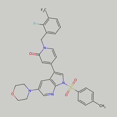 Cc1ccc(S(=O)(=O)n2cc(-c3ccn(Cc4cccc(C(F)(F)F)c4F)c(=O)c3)c3cc(N4CCOCC4)cnc32)cc1